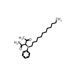 CCCCCCCCCCCCN(c1ccccc1)C(C(C)=O)C(N)=O